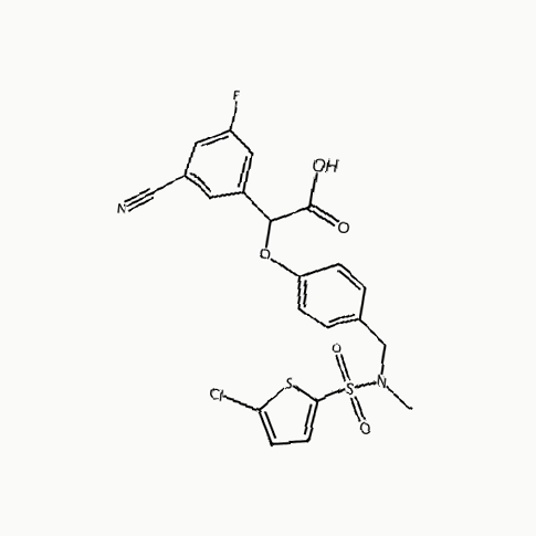 CN(Cc1ccc(OC(C(=O)O)c2cc(F)cc(C#N)c2)cc1)S(=O)(=O)c1ccc(Cl)s1